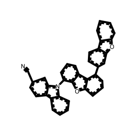 N#Cc1ccc2c3ccccc3n(-c3cccc4c3oc3cccc(-c5ccc6c(c5)oc5ccccc56)c34)c2c1